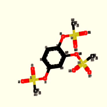 O=S(=O)(Oc1ccc(OS(=O)(=O)C(F)(F)F)c(OS(=O)(=O)C(F)(F)F)c1)C(F)(F)F